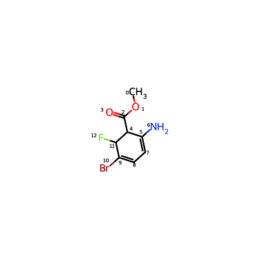 COC(=O)C1C(N)=CC=C(Br)C1F